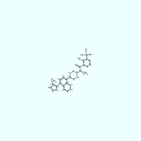 CN(C(=O)c1cccc(C(F)(F)F)c1F)C1CCN(c2nnc(-c3ccnn3C)c3ccccc23)CC1